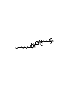 CCCCCCCCCCc1cnc(-c2ccc(OC(=O)CCCCC3CCSS3)cc2)nc1